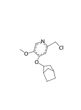 COc1cnc(CCl)cc1OC1CC2CCC1C2